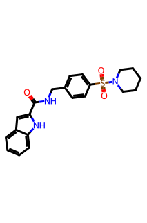 O=C(NCc1ccc(S(=O)(=O)N2CCCCC2)cc1)c1cc2ccccc2[nH]1